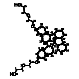 OCCOCCOc1ccc2cc(C3(c4ccc5cc(OCCOCCO)ccc5c4)c4ccccc4-c4ccccc43)ccc2c1